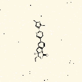 CC[C@@H]1OC(=O)N2c3ccc(-c4ccc(-n5cc(C)nc5C)nc4)cc3C[C@H]12